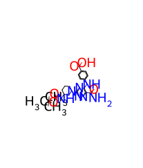 CC(C)(C)OC(=O)NC1CCCN(c2nnc(C(N)=O)c(Nc3ccc(C(=O)O)cc3)n2)C1